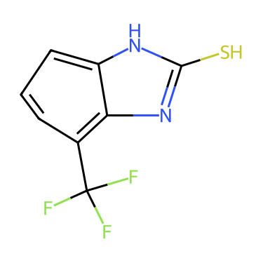 FC(F)(F)c1cccc2[nH]c(S)nc12